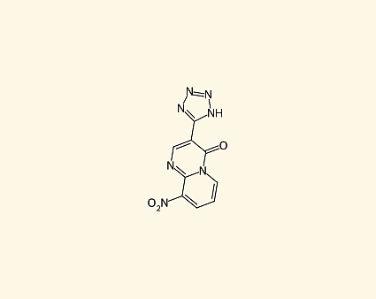 O=c1c(-c2nnn[nH]2)cnc2c([N+](=O)[O-])cccn12